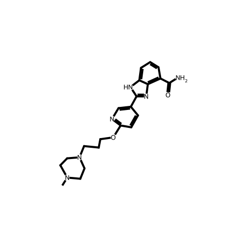 CN1CCN(CCCOc2ccc(-c3nc4c(C(N)=O)cccc4[nH]3)cn2)CC1